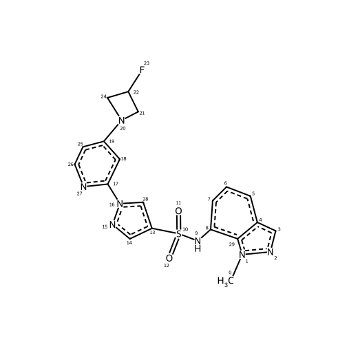 Cn1ncc2cccc(NS(=O)(=O)c3cnn(-c4cc(N5CC(F)C5)ccn4)c3)c21